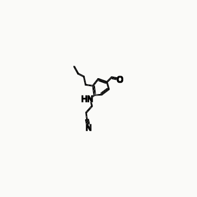 CCCCc1cc(C=O)ccc1NCCC#N